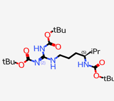 CC(C)[C@H](CCCN/C(=N/C(=O)OC(C)(C)C)NC(=O)OC(C)(C)C)NC(=O)OC(C)(C)C